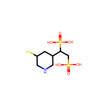 O=P(O)(O)CC(C1CNCC(S)C1)P(=O)(O)O